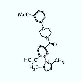 COc1cccc(N2CCN(C(=O)c3ccc(C(=O)O)c(-n4c(C)ccc4C)c3)CC2)c1